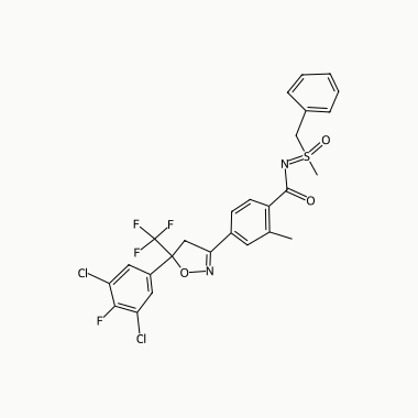 Cc1cc(C2=NOC(c3cc(Cl)c(F)c(Cl)c3)(C(F)(F)F)C2)ccc1C(=O)N=S(C)(=O)Cc1ccccc1